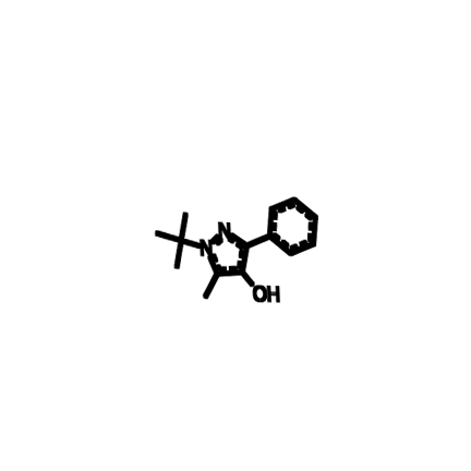 Cc1c(O)c(-c2ccccc2)nn1C(C)(C)C